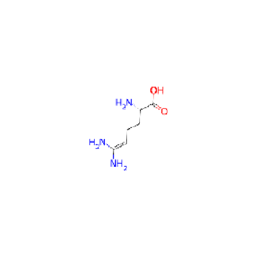 NC(N)=CCC[C@H](N)C(=O)O